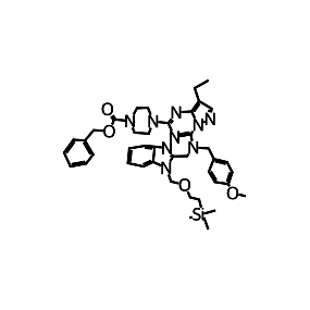 CCc1cnn2c(N(Cc3ccc(OC)cc3)Cc3nc4ccccc4n3COCC[Si](C)(C)C)nc(N3CCN(C(=O)OCc4ccccc4)CC3)nc12